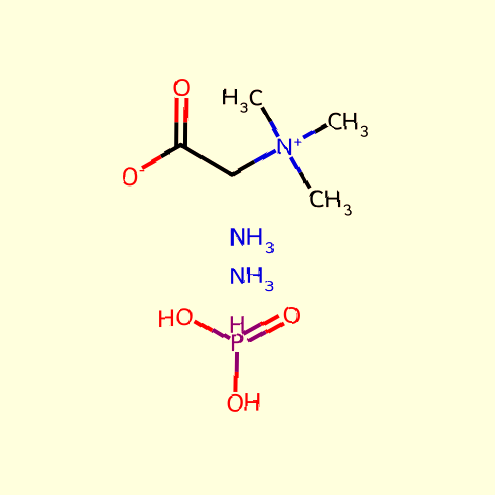 C[N+](C)(C)CC(=O)[O-].N.N.O=[PH](O)O